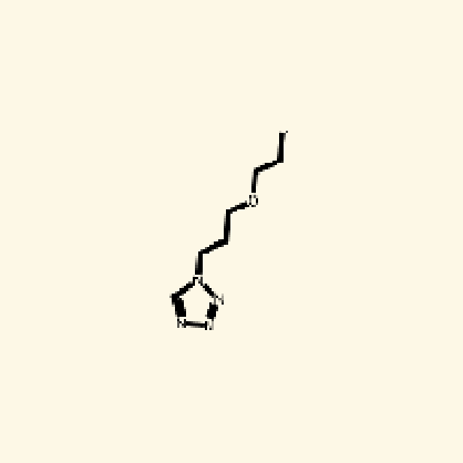 [CH2]CCOCCCn1cnnn1